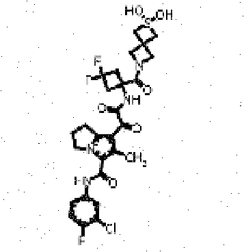 Cc1c(C(=O)C(=O)NC2(C(=O)N3CC4(C3)CS(O)(O)C4)CC(F)(F)C2)c2n(c1C(=O)Nc1ccc(F)c(Cl)c1)CCC2